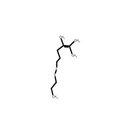 CC[CH]SCCCCC(C)=C(C)C